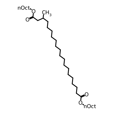 CCCCCCCCOC(=O)CCCCCCCCCCCCCCCCC(C)CC(=O)OCCCCCCCC